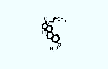 CCCC[C@]12CCC3=C(CCc4cc(OC)ccc43)[C@@H]1CCC2=O